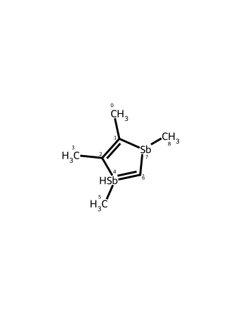 C[C]1=[C](C)[SbH]([CH3])=[C][Sb]1[CH3]